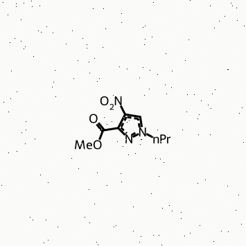 CCCn1cc([N+](=O)[O-])c(C(=O)OC)n1